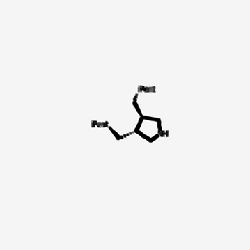 CCC[C@H](C)C[C@H]1CNC[C@@H]1C[C@@H](C)CCC